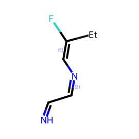 CC/C(F)=C\N=C/C=N